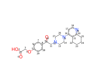 O=C(O)COc1ccc(C(=O)CN2CCN(c3ccnc4c3CCCC4)CC2)cc1